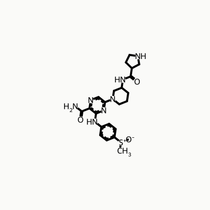 C[S+]([O-])c1ccc(Nc2nc(N3CCCC(NC(=O)C4CCNC4)C3)cnc2C(N)=O)cc1